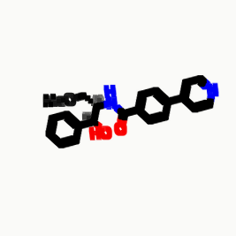 COC[C@H](NC(=O)c1ccc(-c2ccncc2)cc1)[C@@H](O)c1ccccc1